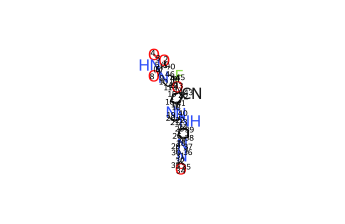 C[C@@H]1OC(=O)N[C@@H]1C(=O)N1CC[C@H](Oc2ccc(-c3nccc(Nc4ccc(N5CCN(C6COC6)CC5)cc4)n3)cc2C#N)[C@H](F)C1